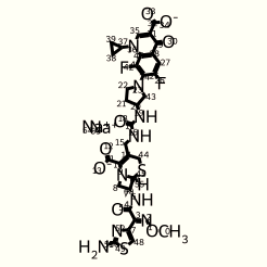 CON=C(C(=O)N[C@@H]1CN2C(C(=O)[O-])=C(CNC(=O)NC3CCN(c4c(F)cc5c(=O)c(C(=O)[O-])cn(C6CC6)c5c4F)C3)CS[C@H]12)c1csc(N)n1.[Na+].[Na+]